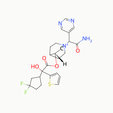 NC(=O)C(c1cncnc1)[N+]12CCC(CC1)[C@@H](OC(=O)C(O)(c1cccs1)C1CCC(F)(F)C1)C2